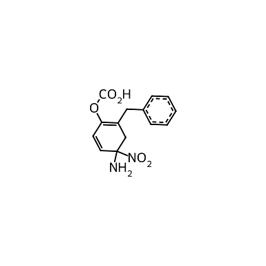 NC1([N+](=O)[O-])C=CC(OC(=O)O)=C(Cc2ccccc2)C1